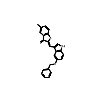 Cc1ccc2c(c1)C(=O)/C(=C/c1c[nH]c3ccc(OCc4ccccc4)cc13)S2